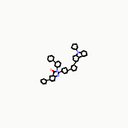 O=c1c2cc(-c3ccccc3)ccc2nc(-c2ccc(-c3cccc(-c4ccc5c(c4)c4ccccc4n5-c4ccccc4)c3)cc2)n1-c1cccc(-c2ccccc2)c1